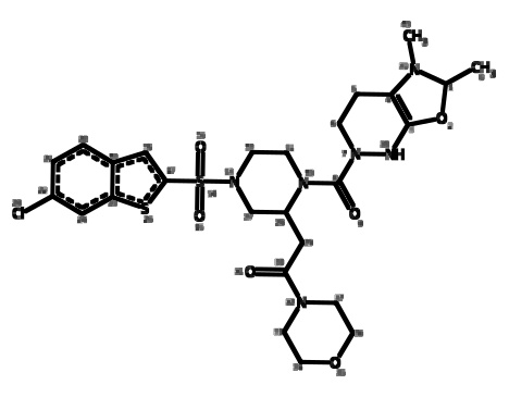 CC1OC2=C(CCN(C(=O)N3CCN(S(=O)(=O)c4cc5ccc(Cl)cc5s4)CC3CC(=O)N3CCOCC3)N2)N1C